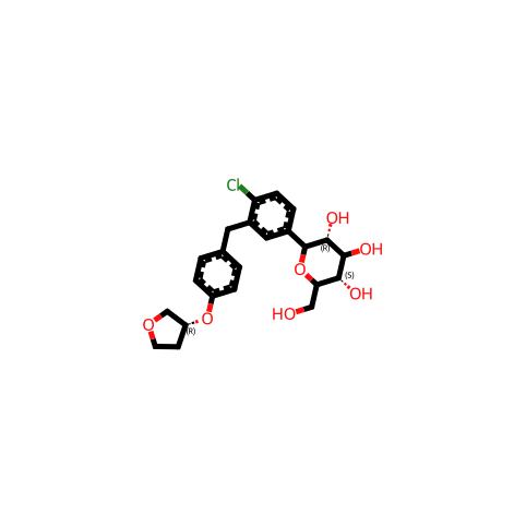 OCC1OC(c2ccc(Cl)c(Cc3ccc(O[C@@H]4CCOC4)cc3)c2)[C@H](O)C(O)[C@@H]1O